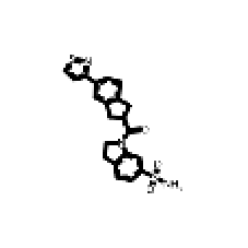 NS(=O)(=O)c1ccc2c(c1)N(C(=O)C1Cc3ccc(-c4ccsn4)cc3C1)CC2